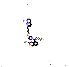 CC(C)C1Cc2c(cccc2C(C(=O)O)N2CCC(OCCCCc3ccc4c(n3)NCCC4)C2)CO1